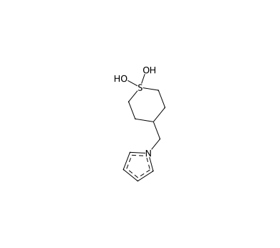 OS1(O)CCC(Cn2cccc2)CC1